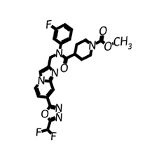 COC(=O)N1CCC(C(=O)N(Cc2cn3ccc(-c4nnc(C(F)F)o4)cc3n2)c2cccc(F)c2)CC1